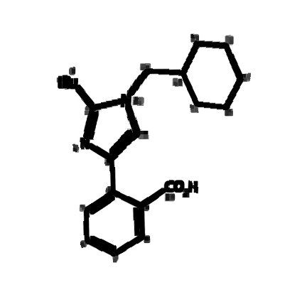 CC(C)(C)c1nc(-c2ccccc2C(=O)O)cn1CC1CCCCC1